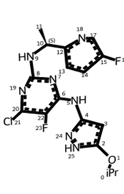 CC(C)Oc1cc(Nc2nc(N[C@@H](C)c3ccc(F)cn3)nc(Cl)c2F)n[nH]1